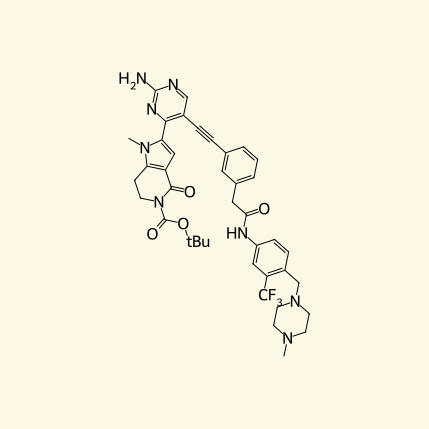 CN1CCN(Cc2ccc(NC(=O)Cc3cccc(C#Cc4cnc(N)nc4-c4cc5c(n4C)CCN(C(=O)OC(C)(C)C)C5=O)c3)cc2C(F)(F)F)CC1